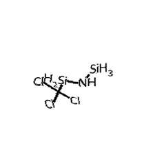 [SiH3]N[SiH2]C(Cl)(Cl)Cl